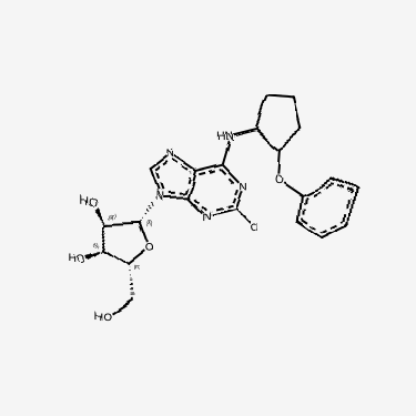 OC[C@H]1O[C@@H](n2cnc3c(NC4CCCC4Oc4ccccc4)nc(Cl)nc32)[C@H](O)[C@@H]1O